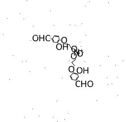 O=Cc1ccc(OCCCO[N+](=O)OCCCOc2ccc(C=O)cc2O)c(O)c1